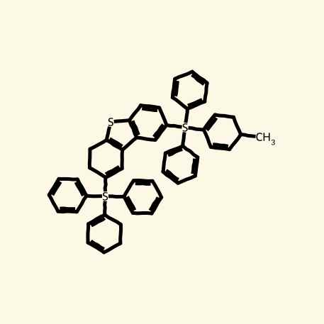 CC1C=CC(S(c2ccccc2)(c2ccccc2)c2ccc3sc4c(c3c2)C=C(S(C2=CC=CCC2)(c2ccccc2)c2ccccc2)CC4)=CC1